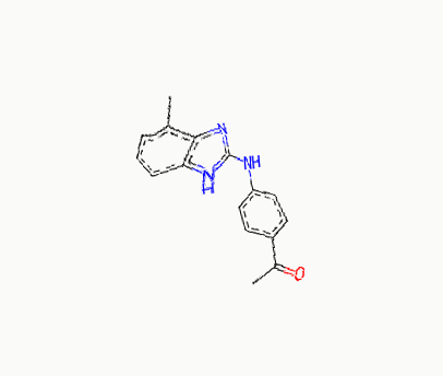 CC(=O)c1ccc(Nc2nc3c(C)cccc3[nH]2)cc1